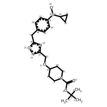 CC(C)(C)OC(=O)N1CCC(OCc2noc(Cc3ccc([S+]([O-])C4CC4)cc3)n2)CC1